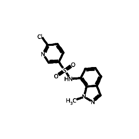 Cn1ncc2cccc(NS(=O)(=O)c3ccc(Cl)nc3)c21